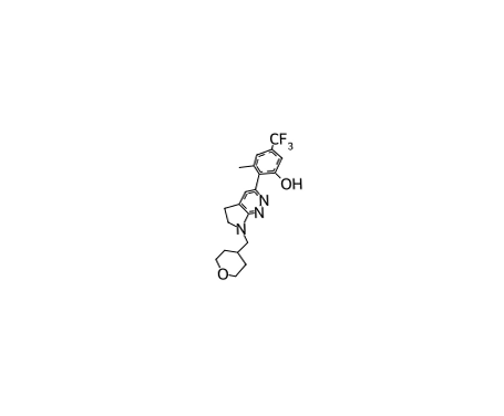 Cc1cc(C(F)(F)F)cc(O)c1-c1cc2c(nn1)N(CC1CCOCC1)CC2